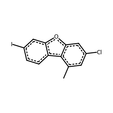 Cc1cc(Cl)cc2oc3cc(I)ccc3c12